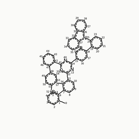 Cc1ccccc1-c1cccc(-c2nc(-c3ccc(-c4ccccc4-n4c5ccccc5c5ccccc54)cc3)nc(-c3ccccc3-c3ccc(C(C)(C)C)cc3)n2)c1C